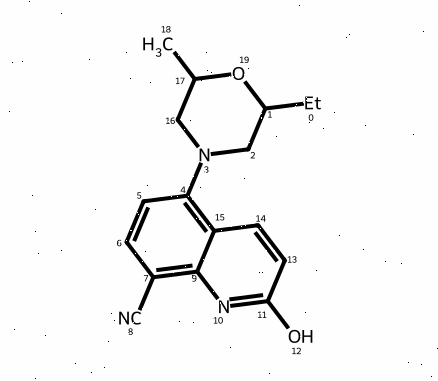 CCC1CN(c2ccc(C#N)c3nc(O)ccc23)CC(C)O1